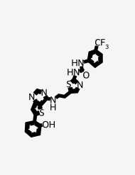 O=C(Nc1cccc(C(F)(F)F)c1)Nc1ncc(CCNc2ncnc3cc(-c4ccccc4O)sc23)s1